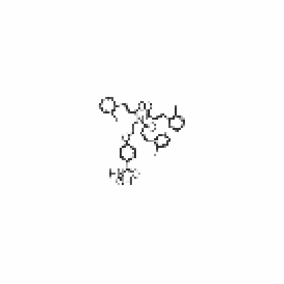 Cc1ccccc1C=CC(=O)[N+](CCOc1ccc(C(=O)NO)cc1)(C(=O)C=Cc1ccccc1C)C(=O)C=Cc1ccccc1C